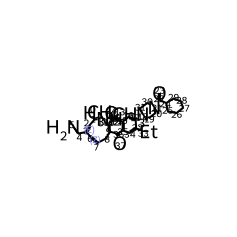 C=C1/C=C(CN)\C=C/CC2=C(N1)C(C)(C)c1cc(N3CCN(C(=O)C4CCCCC4)CC3)c(CC)cc1C2=O